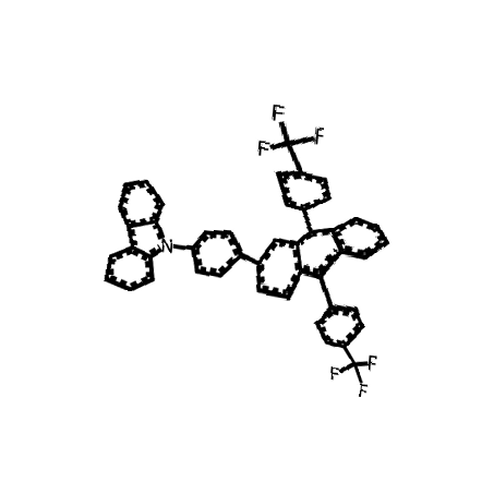 FC(F)(F)c1ccc(-c2c3ccccc3c(-c3ccc(C(F)(F)F)cc3)c3cc(-c4ccc(-n5c6ccccc6c6ccccc65)cc4)ccc23)cc1